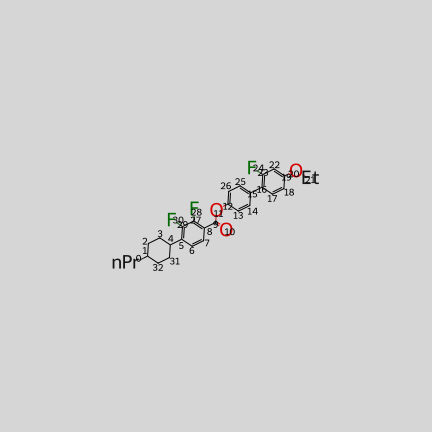 CCCC1CCC(c2ccc(C(=O)Oc3ccc(-c4ccc(OCC)cc4F)cc3)c(F)c2F)CC1